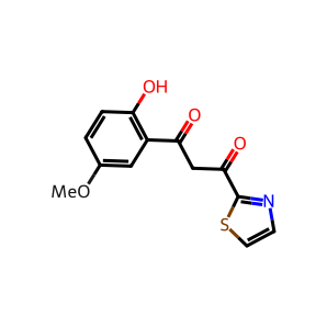 COc1ccc(O)c(C(=O)CC(=O)c2nccs2)c1